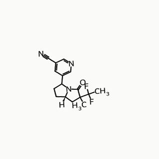 CC(F)(F)C1(C)C[C@@H]2CCC(c3cncc(C#N)c3)N2C1=O